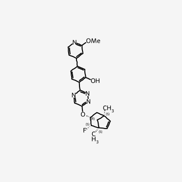 COc1cc(-c2ccc(-c3ncc(O[C@@H]4C[C@@]5(C)C=C[C@](C)(C5)[C@@H]4F)nn3)c(O)c2)ccn1